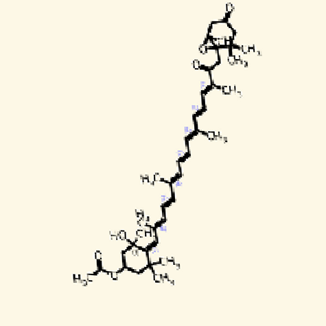 CC(=O)OC1CC(C)(C)/C(=C/C(C)=C/C=C/C(C)=C/C=C/C=C(C)/C=C/C=C(\C)C(=O)CC23OC2(C)CC(=O)CC3(C)C)[C@@](C)(O)C1